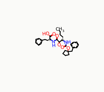 CCCC[C@H](NC(=O)OC1(Cc2ccccc2)CCCC1)C(=O)C(=O)N[C@@H](CCc1ccccc1)C(=O)O